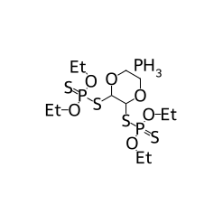 CCOP(=S)(OCC)SC1OCCOC1SP(=S)(OCC)OCC.P